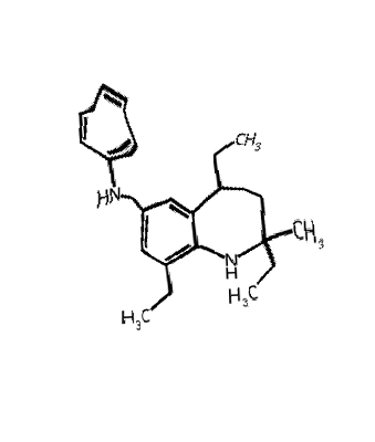 CCc1cc(Nc2ccccc2)cc2c1NC(C)(CC)CC2CC